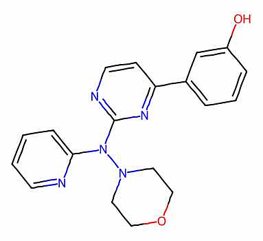 Oc1cccc(-c2ccnc(N(c3ccccn3)N3CCOCC3)n2)c1